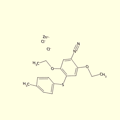 CCOc1cc(Sc2ccc(C)cc2)c(OCC)cc1[N+]#N.[Cl-].[Cl-].[Zn+]